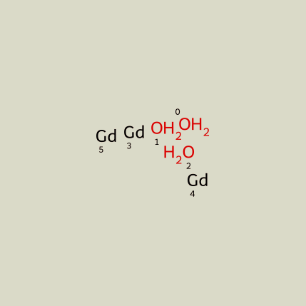 O.O.O.[Gd].[Gd].[Gd]